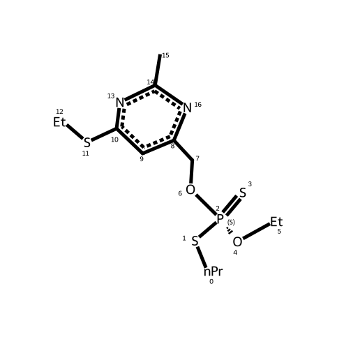 CCCS[P@@](=S)(OCC)OCc1cc(SCC)nc(C)n1